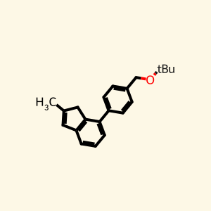 CC1=Cc2cccc(-c3ccc(COC(C)(C)C)cc3)c2C1